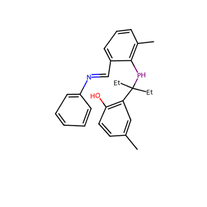 CCC(CC)(Pc1c(C)cccc1/C=N/c1ccccc1)c1cc(C)ccc1O